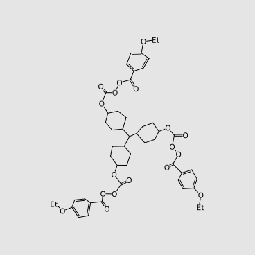 CCOc1ccc(C(=O)OOC(=O)OC2CCC(C(C3CCC(OC(=O)OOC(=O)c4ccc(OCC)cc4)CC3)C3CCC(OC(=O)OOC(=O)c4ccc(OCC)cc4)CC3)CC2)cc1